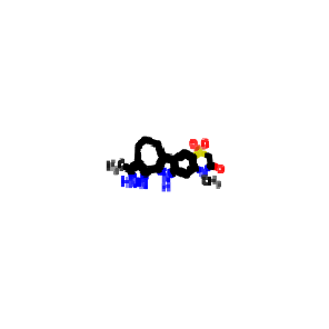 Cc1[nH]nc2c1CCCc1c-2[nH]c2cc3c(cc12)S(=O)(=O)CC(=O)N3C